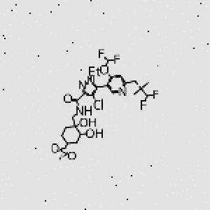 CCn1nc(C(=O)NCC2(O)CCC(S(C)(=O)=O)C[C@@H]2O)c(Cl)c1-c1cnc(CC(C)(C)C(F)F)cc1OC(F)F